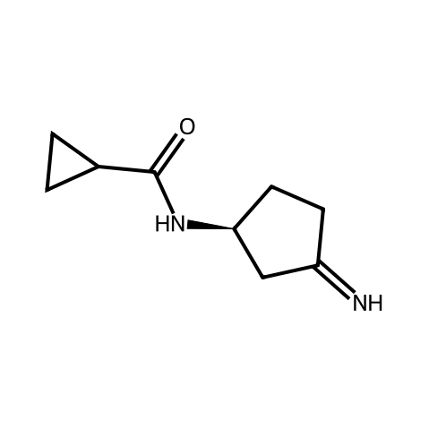 N=C1CC[C@H](NC(=O)C2CC2)C1